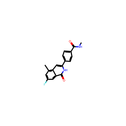 CNC(=O)c1ccc(-c2cc3c(C)cc(F)cc3c(=O)[nH]2)cc1